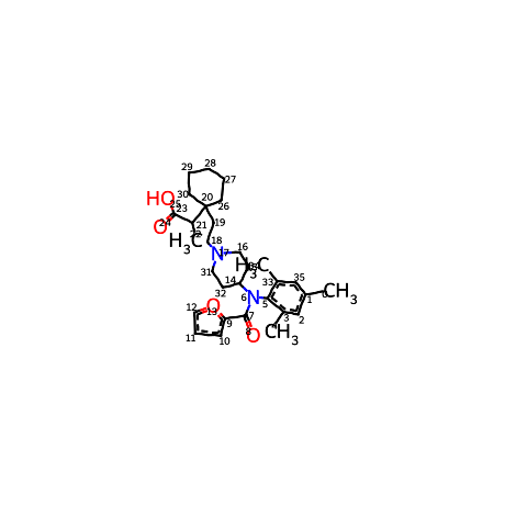 Cc1cc(C)c(N(C(=O)c2ccco2)C2CCN(CCC3(C(C)C(=O)O)CCCCC3)CC2)c(C)c1